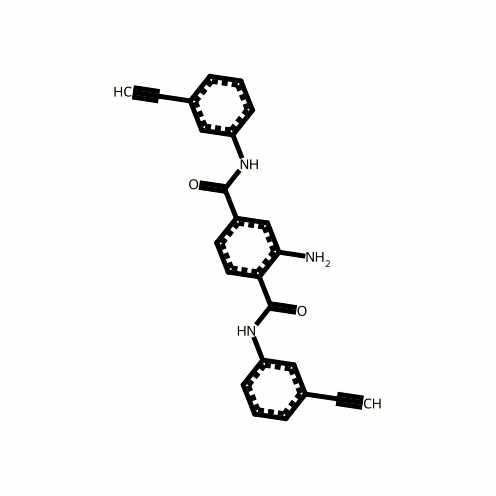 C#Cc1cccc(NC(=O)c2ccc(C(=O)Nc3cccc(C#C)c3)c(N)c2)c1